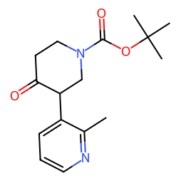 Cc1ncccc1C1CN(C(=O)OC(C)(C)C)CCC1=O